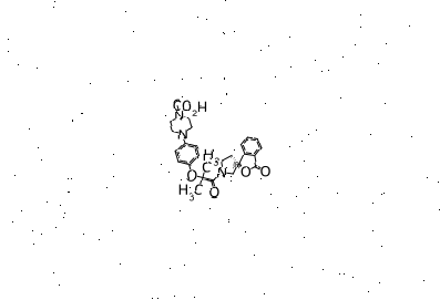 CC(C)(Oc1ccc(N2CCN(C(=O)O)CC2)cc1)C(=O)N1CC[C@@]2(C1)OC(=O)c1ccccc12